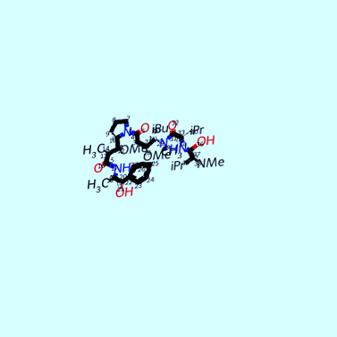 CC[C@H](C)[C@@H]([C@@H](CC(=O)N1CCC[C@H]1[C@H](OC)[C@@H](C)C(=O)N[C@H](C)[C@@H](O)c1ccccc1)OC)N(C)C(=O)[C@@H](NC(O)[C@@H](NC)C(C)C)C(C)C